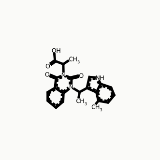 Cc1cccc2[nH]cc(C(C)n3c(=O)n(C(C)C(=O)O)c(=O)c4ccccc43)c12